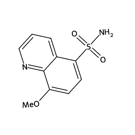 COc1ccc(S(N)(=O)=O)c2cccnc12